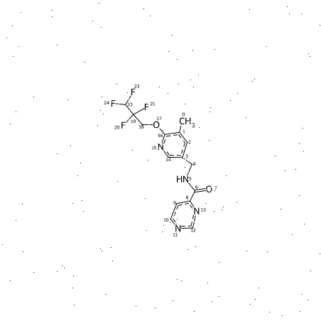 Cc1cc(CNC(=O)c2ccncn2)cnc1OCC(F)(F)C(F)F